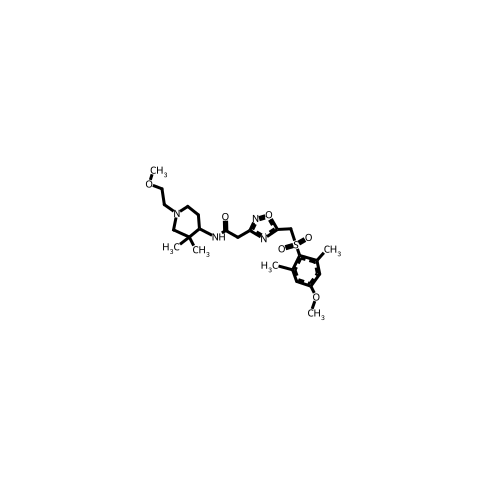 COCCN1CCC(NC(=O)Cc2noc(CS(=O)(=O)c3c(C)cc(OC)cc3C)n2)C(C)(C)C1